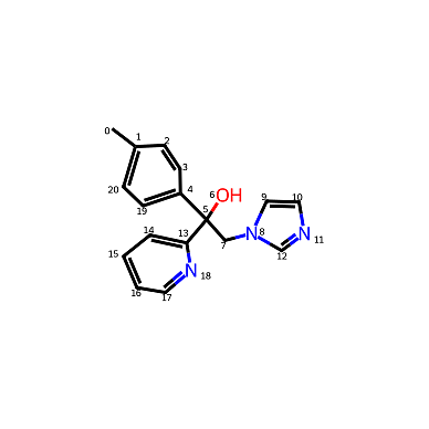 Cc1ccc(C(O)(Cn2ccnc2)c2ccccn2)cc1